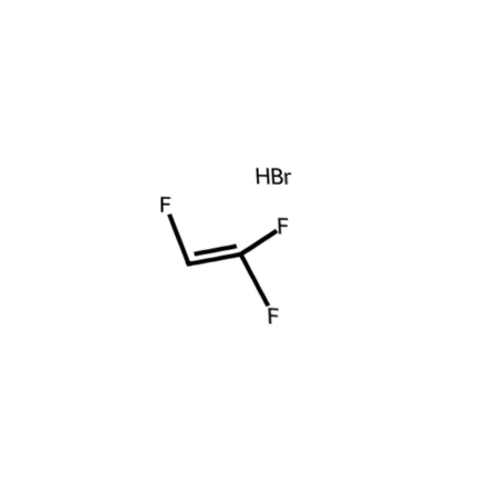 Br.FC=C(F)F